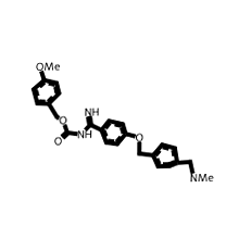 CNCc1ccc(COc2ccc(C(=N)NC(=O)OCc3ccc(OC)cc3)cc2)cc1